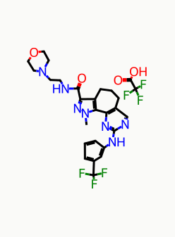 Cn1nc(C(=O)NCCN2CCOCC2)c2c1-c1nc(Nc3cccc(C(F)(F)F)c3)ncc1CCC2.O=C(O)C(F)(F)F